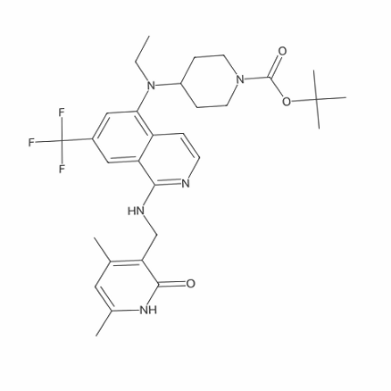 CCN(c1cc(C(F)(F)F)cc2c(NCc3c(C)cc(C)[nH]c3=O)nccc12)C1CCN(C(=O)OC(C)(C)C)CC1